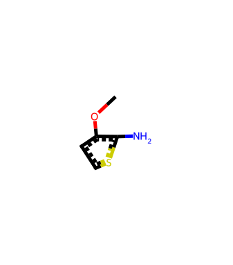 COc1ccsc1N